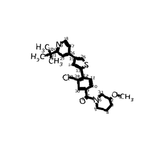 COC1CCCN(C(=O)c2ccc(-c3cc(-c4ccnc(C(C)(C)C)c4)cs3)c(Cl)c2)C1